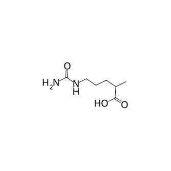 CC(CCCNC(N)=O)C(=O)O